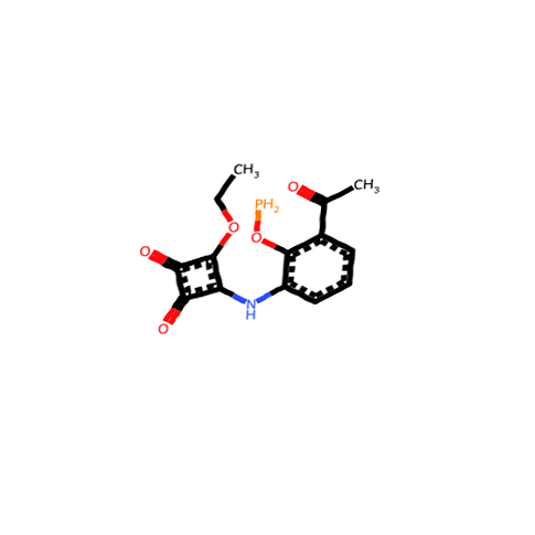 CCOc1c(Nc2cccc(C(C)=O)c2OP)c(=O)c1=O